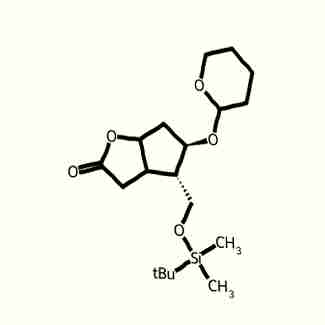 CC(C)(C)[Si](C)(C)OC[C@@H]1C2CC(=O)OC2C[C@H]1OC1CCCCO1